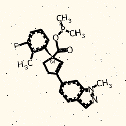 Cc1c(F)cccc1[C@@]1(C(=O)OP(C)C)C=C(c2ccc3cnn(C)c3c2)CC1